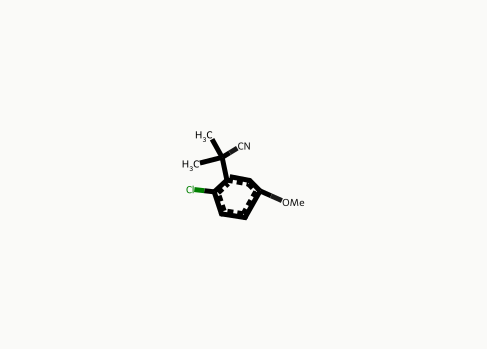 COc1ccc(Cl)c(C(C)(C)C#N)c1